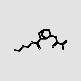 C=C(C)C(=O)OC1CC2CC(C(=O)OCOCC)C1C2